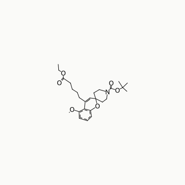 CCOC(=O)CCCCC1=CC2(CCN(C(=O)OC(C)(C)C)CC2)Oc2cccc(OC)c21